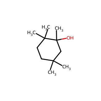 CC1(C)CCC(C)(C)C(C)(O)C1